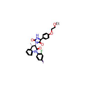 CCOCCOc1ccc(C2NC(=O)N([C@H](C(=O)Nc3ccc(I)cc3F)[C@@H](C)c3ccccc3)C2=O)cc1